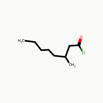 CCCCCC(C)CC(=O)Cl